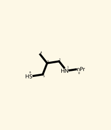 CCCNCC(C)CS